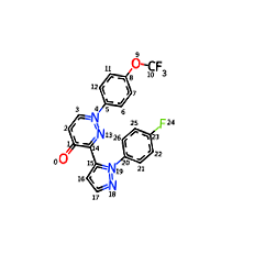 O=c1ccn(-c2ccc(OC(F)(F)F)cc2)nc1-c1ccnn1-c1ccc(F)cc1